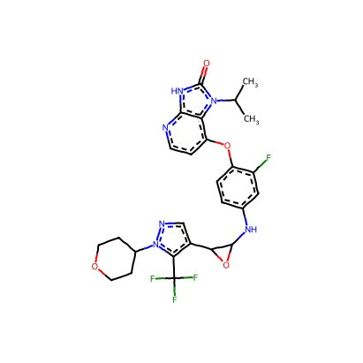 CC(C)n1c(=O)[nH]c2nccc(Oc3ccc(NC4OC4c4cnn(C5CCOCC5)c4C(F)(F)F)cc3F)c21